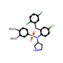 COc1ccc(S(=O)(=O)N(c2ccc(Cl)cc2Cc2cc(F)ccc2F)C2CCNC2)cc1OC